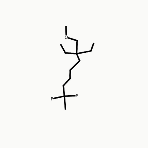 CCC(CC)(CCCCC(C)(F)F)COC